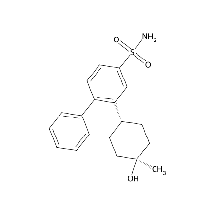 C[C@]1(O)CC[C@H](c2cc(S(N)(=O)=O)ccc2-c2ccccc2)CC1